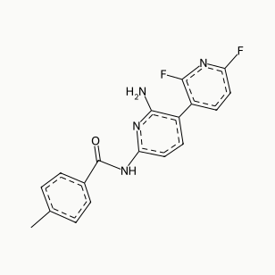 Cc1ccc(C(=O)Nc2ccc(-c3ccc(F)nc3F)c(N)n2)cc1